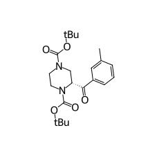 Cc1cccc(C(=O)[C@H]2CN(C(=O)OC(C)(C)C)CCN2C(=O)OC(C)(C)C)c1